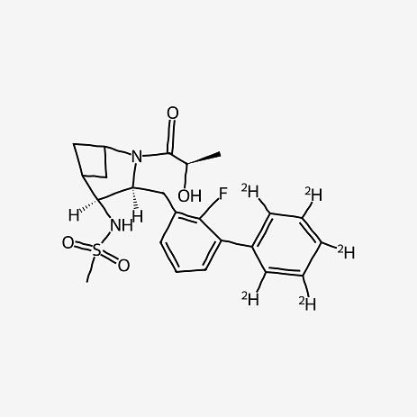 [2H]c1c([2H])c([2H])c(-c2cccc(C[C@H]3[C@@H](NS(C)(=O)=O)C4CC(C4)N3C(=O)[C@@H](C)O)c2F)c([2H])c1[2H]